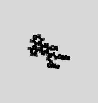 COCCN(CCOC)c1nc(-c2ccco2)c(N2CCOCC2)nc1C#N